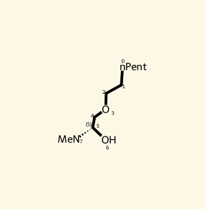 CCCCCCCOC[C@H](O)NC